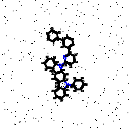 c1ccc(-c2cccc(-c3cccc(-n4c5ccccc5c5cc6c7ccccc7n(-c7ccccc7)c6cc54)n3)c2)cc1